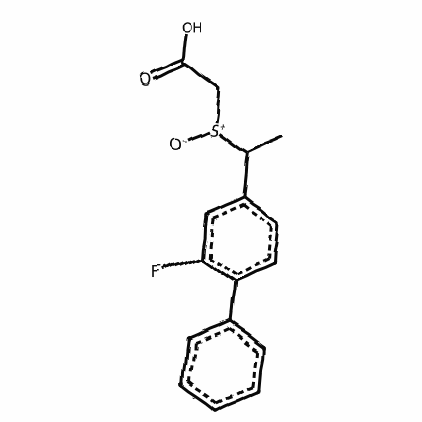 CC(c1ccc(-c2ccccc2)c(F)c1)[S+]([O-])CC(=O)O